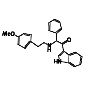 COc1ccc(CCNC(C(=O)c2c[nH]c3ccccc23)c2ccccc2)cc1